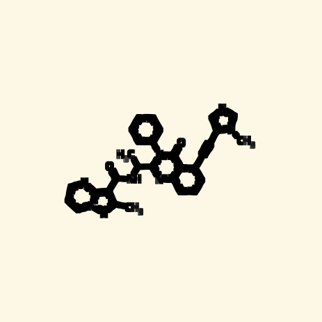 Cc1nn2cccnc2c1C(=O)NC(C)c1nc2cccc(C#Cc3cncn3C)c2c(=O)n1-c1ccccc1